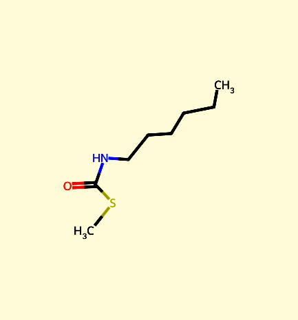 CCCCCCNC(=O)SC